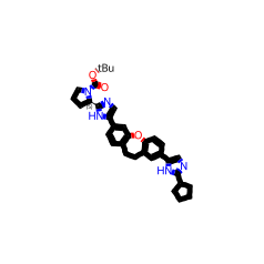 CC(C)(C)OC(=O)N1CCC[C@H]1c1ncc(-c2ccc3c(c2)Oc2ccc(-c4cnc(C5CCCC5)[nH]4)cc2CC3)[nH]1